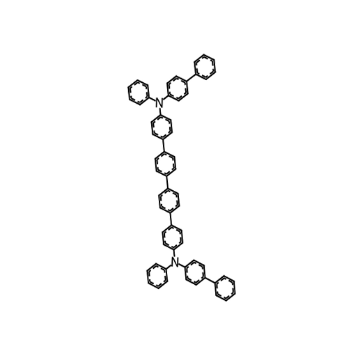 c1ccc(-c2ccc(N(c3ccccc3)c3ccc(-c4ccc(-c5ccc(-c6ccc(N(c7ccccc7)c7ccc(-c8ccccc8)cc7)cc6)cc5)cc4)cc3)cc2)cc1